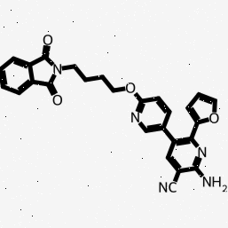 N#Cc1cc(-c2ccc(OCCCCN3C(=O)c4ccccc4C3=O)nc2)c(-c2ccco2)nc1N